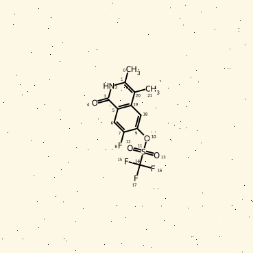 Cc1[nH]c(=O)c2cc(F)c(OS(=O)(=O)C(F)(F)F)cc2c1C